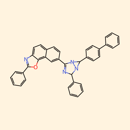 c1ccc(-c2ccc(C3N4C(c5ccc6ccc7nc(-c8ccccc8)oc7c6c5)=NC(c5ccccc5)N34)cc2)cc1